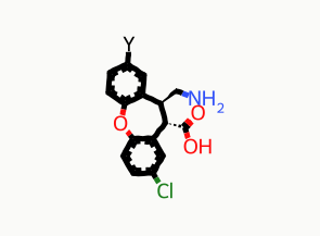 NC[C@@H]1c2c[c]([Y])ccc2Oc2ccc(Cl)cc2[C@H]1C(=O)O